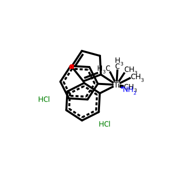 Cl.Cl.[CH3][Ti]([CH3])([CH3])([CH3])([CH3])([NH2])([C]1=CC=CC1)([c]1ccccc1)[c]1ccccc1